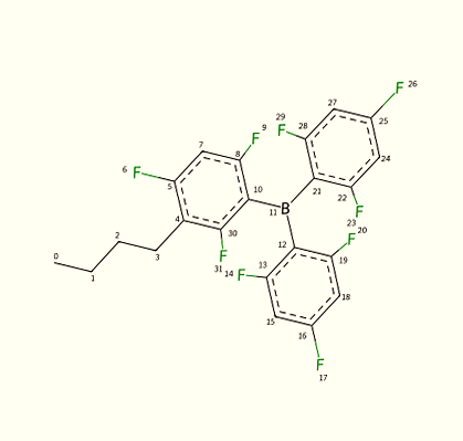 CCCCc1c(F)cc(F)c(B(c2c(F)cc(F)cc2F)c2c(F)cc(F)cc2F)c1F